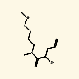 C=CCC(S)C(=C)N(C)CCSSNC